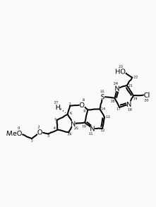 COCOCC1C[C@H]2COC3C(=NC=CC3Sc3cnc(Cl)c(CO)n3)N2C1